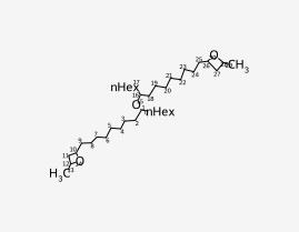 CCCCCCC(CCCCCCCCC1CC(C)O1)OC(CCCCCC)CCCCCCCCC1CC(C)O1